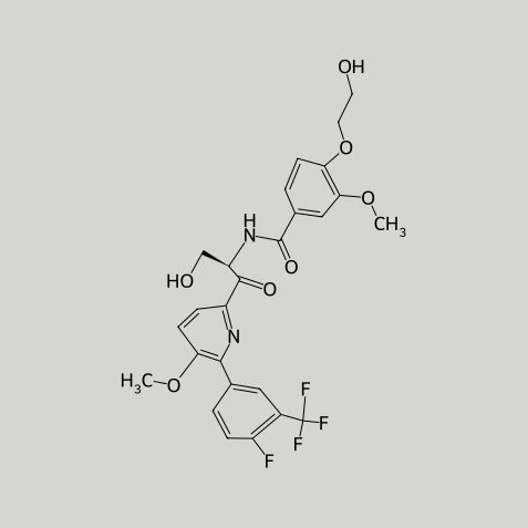 COc1cc(C(=O)N[C@H](CO)C(=O)c2ccc(OC)c(-c3ccc(F)c(C(F)(F)F)c3)n2)ccc1OCCO